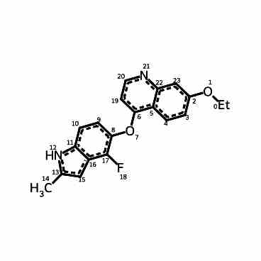 CCOc1ccc2c(Oc3ccc4[nH]c(C)cc4c3F)ccnc2c1